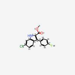 COC(=O)c1[nH]c2cc(Cl)ccc2c1-c1ccc(F)cc1